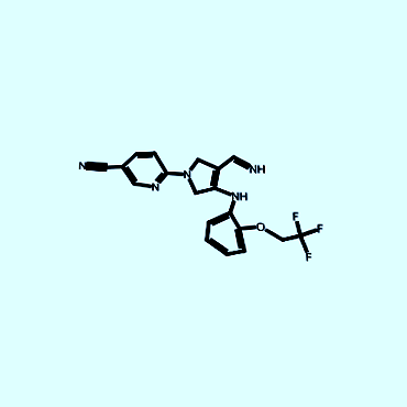 N#Cc1ccc(N2CC(C=N)=C(Nc3ccccc3OCC(F)(F)F)C2)nc1